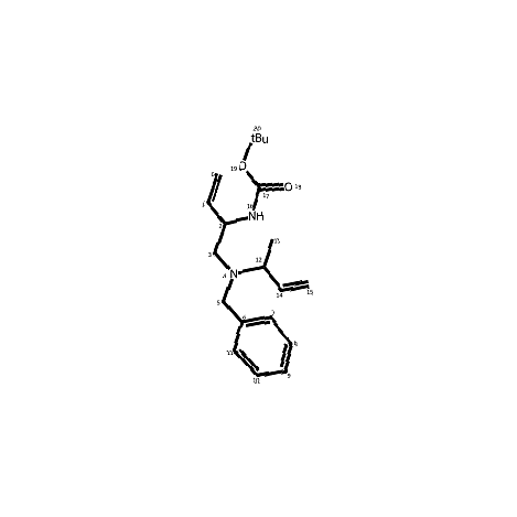 C=CC(CN(Cc1ccccc1)C(C)C=C)NC(=O)OC(C)(C)C